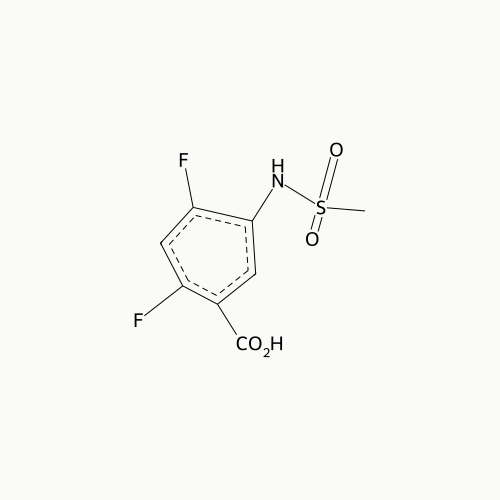 CS(=O)(=O)Nc1cc(C(=O)O)c(F)cc1F